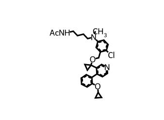 CC(=O)NCCCCN(C)c1ccc(Cl)c(COC2(c3cnccc3-c3ccccc3OC3CC3)CC2)c1